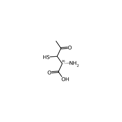 CC(=O)C(S)[C@H](N)C(=O)O